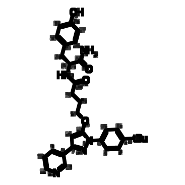 CC(C)(C)c1ccc(-n2nc(-c3cccnc3)cc2OCCCC(=O)N[C@@H](Cc2ccc(O)cc2)C(N)=O)cc1